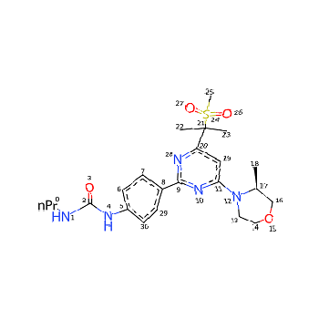 CCCNC(=O)Nc1ccc(-c2nc(N3CCOC[C@@H]3C)cc(C(C)(C)S(C)(=O)=O)n2)cc1